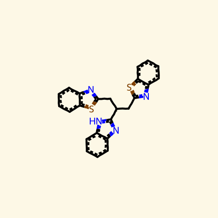 c1ccc2[nH]c([C](Cc3nc4ccccc4s3)Cc3nc4ccccc4s3)nc2c1